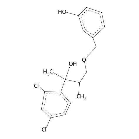 CC(COCc1cccc(O)c1)C(C)(O)c1ccc(Cl)cc1Cl